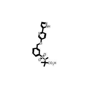 CN(C(C)(C)C(=O)O)S(=O)(=O)c1cccc(COc2ccc(-c3ccn[nH]3)nc2)c1